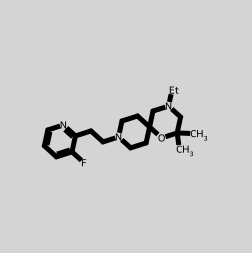 CCN1CC(C)(C)OC2(CCN(CCc3ncccc3F)CC2)C1